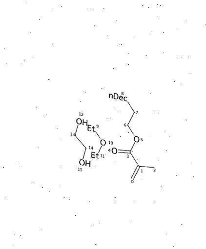 C=C(C)C(=O)OCCCCCCCCCCCC.CCOCC.OCCO